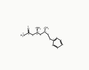 CN(CCc1ccccc1)C[C@H](N)CC(N)=O